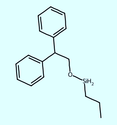 CCC[SiH2]OCC(c1ccccc1)c1ccccc1